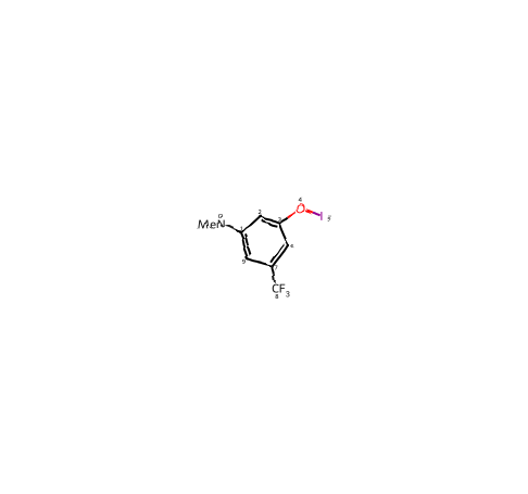 CNc1cc(OI)cc(C(F)(F)F)c1